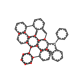 C1=c2cccc(-c3ccccc3)c2=C(c2ccccc2N(c2ccc3c(c2)c2ccccc2n3-c2ccccc2)c2ccccc2-c2ccccc2-c2ccccc2-c2ccccc2)CC1